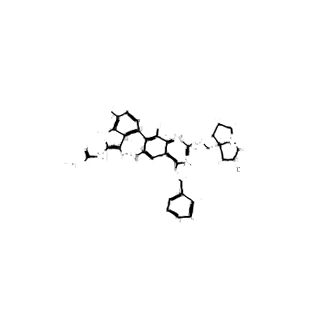 CC(C)(C)OC(=O)Nc1sc2c(F)ccc(-c3c(Cl)cc4c(OCc5ccccc5)nc(OC[C@@]56CCCN5C[C@H](F)C6)nc4c3F)c2c1C#N